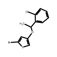 CC(Oc1csc(Br)c1)c1ccccc1Cl